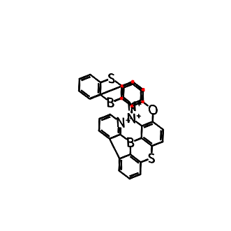 c1cc2c3c(c1)-c1ccc[n+]4c1B3c1c(ccc3c1[N+]41c4c(ccc5c4B4c6c(cccc6-c6ccc[n+]1c64)S5)O3)S2